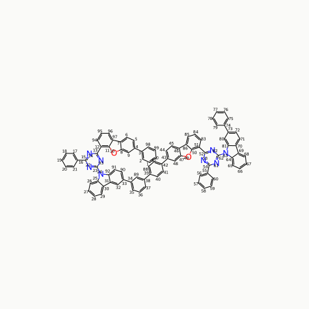 c1ccc(-c2ccc3c(c2)oc2c(-c4nc(-c5ccccc5)nc(-n5c6ccccc6c6cc(-c7cccc(-c8ccc(-c9ccc%10c(c9)oc9c(-c%11nc(-c%12ccccc%12)nc(-n%12c%13ccccc%13c%13ccc(-c%14ccccc%14)cc%13%12)n%11)cccc9%10)cc8)c7)ccc65)n4)cccc23)cc1